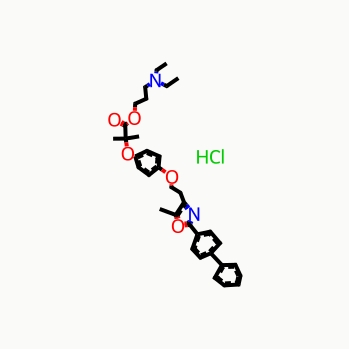 CCN(CC)CCCOC(=O)C(C)(C)Oc1ccc(OCCc2nc(-c3ccc(-c4ccccc4)cc3)oc2C)cc1.Cl